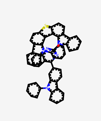 c1ccc(-n2c3ccccc3c3ccc(-c4nc(-n5c6ccccc6c6ccc7sc8ccc9c%10ccccc%10n(-c%10ccccc%10)c9c8c7c65)nc5ccccc45)cc32)cc1